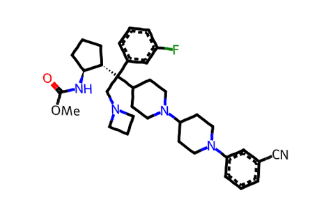 COC(=O)N[C@H]1CCC[C@@H]1C(CN1CCC1)(c1cccc(F)c1)C1CCN(C2CCN(c3cccc(C#N)c3)CC2)CC1